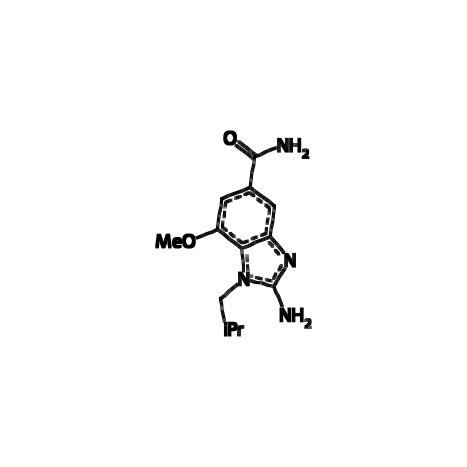 COc1cc(C(N)=O)cc2nc(N)n(CC(C)C)c12